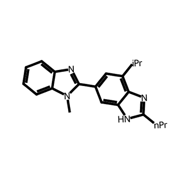 CCCc1nc2c(C(C)C)cc(-c3nc4ccccc4n3C)cc2[nH]1